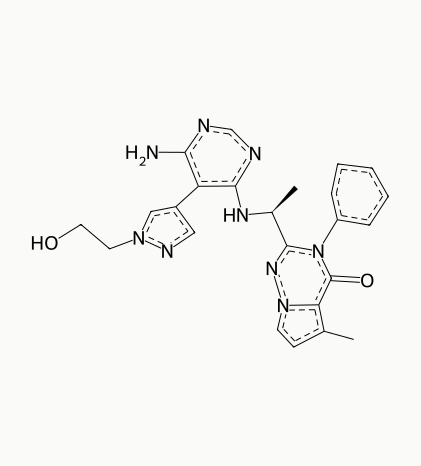 Cc1ccn2nc([C@H](C)Nc3ncnc(N)c3-c3cnn(CCO)c3)n(-c3ccccc3)c(=O)c12